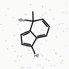 CC(C)(C)C1(C)C=CC=C2[C]([Hf])=CC=C21